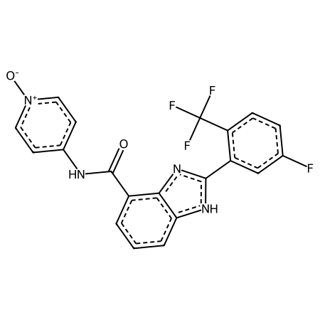 O=C(Nc1cc[n+]([O-])cc1)c1cccc2[nH]c(-c3cc(F)ccc3C(F)(F)F)nc12